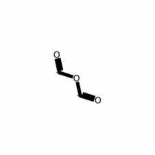 O=[C]O[C]=O